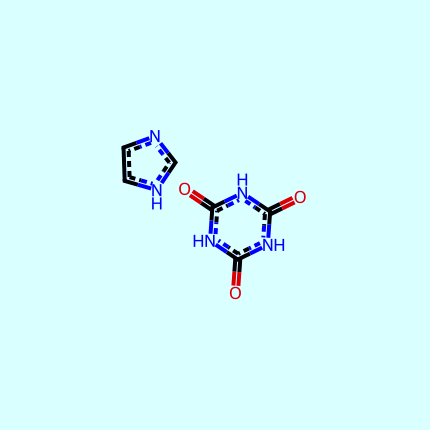 O=c1[nH]c(=O)[nH]c(=O)[nH]1.c1c[nH]cn1